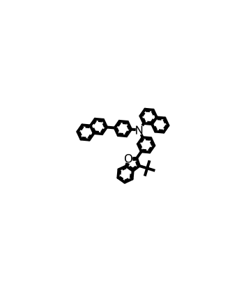 CC(C)(C)c1c(-c2cccc(N(c3ccc(-c4ccc5ccccc5c4)cc3)c3cccc4ccccc34)c2)oc2ccccc12